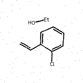 C=Cc1ccccc1Cl.CCO